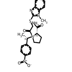 C[C@@H](c1ccc([N+](=O)[O-])cc1)[N+]1(C(=O)CSc2nc3ccccc3n2C)CCC[C@H]1C(N)=O